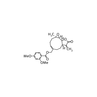 C=C1C(=O)O[C@H]2[C@H]1CC/C(COC(=O)c1ccc(OC)cc1OC)=C\CC[C@@]1(C)O[C@@H]21